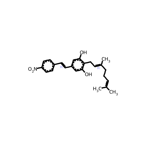 CC(C)=CCC/C(C)=C/Cc1c(O)cc(/C=C/c2ccc([N+](=O)[O-])cc2)cc1O